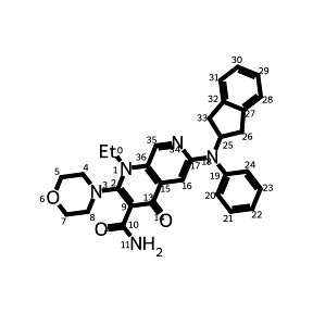 CCn1c(N2CCOCC2)c(C(N)=O)c(=O)c2cc(N(c3ccccc3)C3Cc4ccccc4C3)ncc21